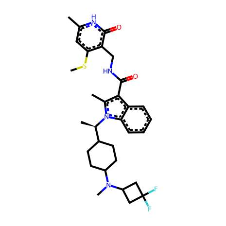 CSc1cc(C)[nH]c(=O)c1CNC(=O)c1c(C)n([C@H](C)C2CCC(N(C)C3CC(F)(F)C3)CC2)c2ccccc12